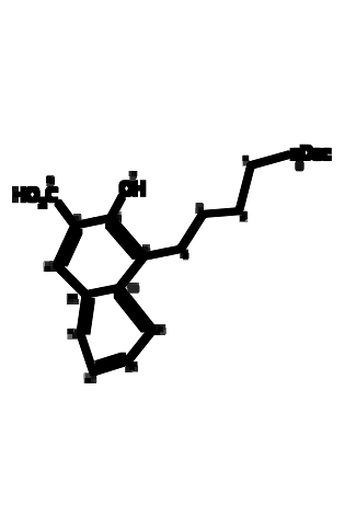 CCCCCCCCCCCCCCc1c(O)c(C(=O)O)cc2ccccc12